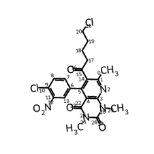 Cc1nc2c(c(-c3ccc(Cl)c([N+](=O)[O-])c3)c1C(=O)CCCCCl)c(=O)n(C)c(=O)n2C